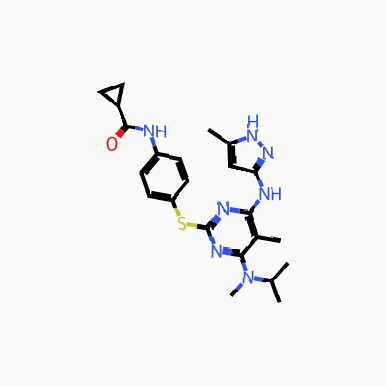 Cc1cc(Nc2nc(Sc3ccc(NC(=O)C4CC4)cc3)nc(N(C)C(C)C)c2C)n[nH]1